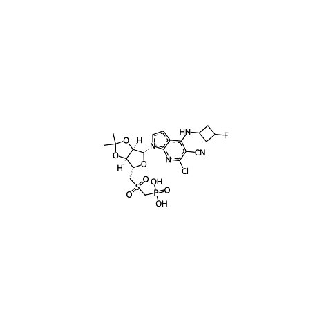 CC1(C)O[C@@H]2[C@H](O1)[C@@H](CS(=O)(=O)CP(=O)(O)O)O[C@H]2n1ccc2c(NC3CC(F)C3)c(C#N)c(Cl)nc21